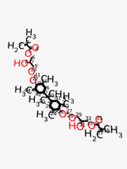 C=C(C)C(=O)OCC(O)COCOc1c(C)cc(C(C)(C)c2cc(C)c(OCOCC(O)COC(=O)C(=C)C)c(C)c2)cc1C